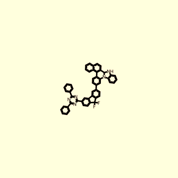 FC1(F)c2ccc(-c3ccc4c(c3)N3c5ccccc5NC3c3ccc5ccccc5c3-4)cc2-c2cc(-c3nc(-c4ccccc4)nc(-c4ccccc4)n3)ccc21